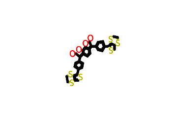 O=C1Oc2c3c(ccc2=C1c1ccc(C2=C4SCCSC4CS2)cc1)=C(c1ccc(-c2scc4c2SCCS4)cc1)C(=O)O3